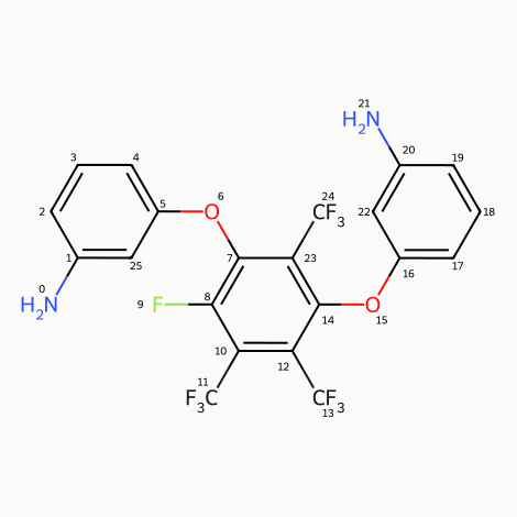 Nc1cccc(Oc2c(F)c(C(F)(F)F)c(C(F)(F)F)c(Oc3cccc(N)c3)c2C(F)(F)F)c1